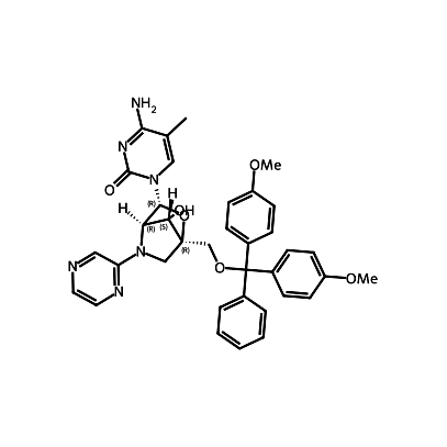 COc1ccc(C(OC[C@@]23CN(c4cnccn4)[C@@H]([C@H](n4cc(C)c(N)nc4=O)O2)[C@@H]3O)(c2ccccc2)c2ccc(OC)cc2)cc1